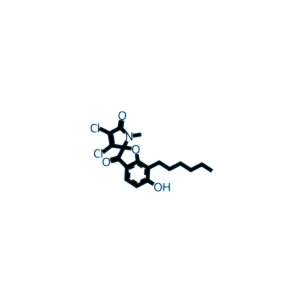 CCCCCCc1c(O)ccc2c1OC1(C2=O)C(Cl)=C(Cl)C(=O)N1C